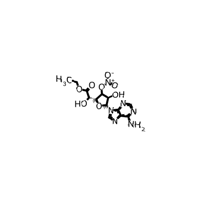 CCOC(=O)C(O)[C@H]1O[C@@H](n2cnc3c(N)ncnc32)C(O)C1O[N+](=O)[O-]